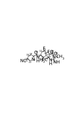 CN1C(=N)N[C@](C)(c2c(F)c(F)cc(NC(=O)c3ccc(C#N)cn3)c2F)CS1(=O)=O